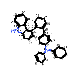 c1ccc(N(c2ccccc2)c2ccc(-c3ccccc3-c3cccc4[nH]c5ccccc5c34)cc2)cc1